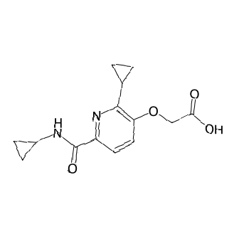 O=C(O)COc1ccc(C(=O)NC2CC2)nc1C1CC1